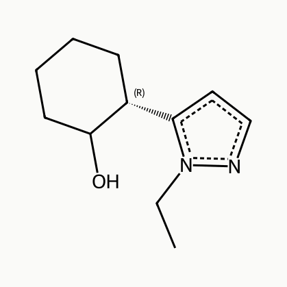 CCn1nccc1[C@H]1CCCCC1O